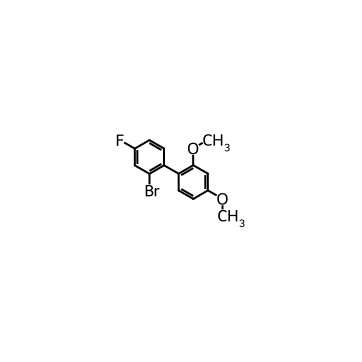 COc1ccc(-c2ccc(F)cc2Br)c(OC)c1